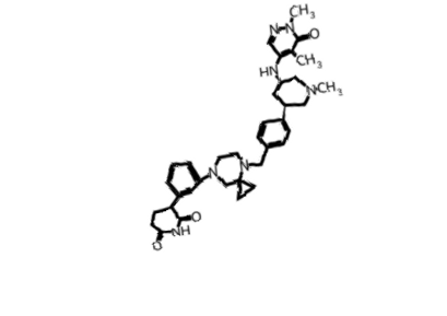 Cc1c(N[C@@H]2C[C@H](c3ccc(CN4CCN(c5cccc(C6CCC(=O)NC6=O)c5)CC45CC5)cc3)CN(C)C2)cnn(C)c1=O